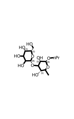 CCCO[C@@H]1OC(C)[C@H](O)C(O[C@H]2O[C@@H](CO)[C@@H](O)C(O)C2O)[C@@H]1O